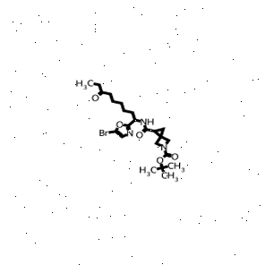 CCC(=O)CCCCCC(NC(=O)C1CC12CN(C(=O)OC(C)(C)C)C2)c1ncc(Br)o1